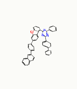 c1ccc(-c2ccc(-c3nc(-c4ccccc4)nc(-c4cccc5oc6cc(-c7ccc(-c8ccc9ccccc9c8)cc7)ccc6c45)n3)cc2)cc1